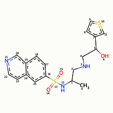 CC(CNCC(O)c1ccsc1)NS(=O)(=O)c1ccc2cnccc2c1